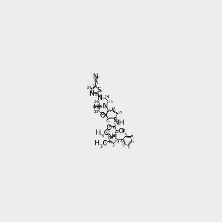 Cc1cc(-c2ccccc2)c(C(=O)C(=O)Nc2ccc3c(c2)OC[C@@H]2CN(c4ncc(C#N)s4)CCN32)n1C